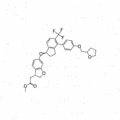 COC(=O)CC1COc2cc(O[C@@H]3CCc4c3ccc(C(F)(F)F)c4-c3ccc(OCC4CCCO4)cc3)ccc21